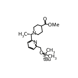 COC(=O)C1CCN([C@H](C)c2cccc(CO[Si](C)(C)C(C)(C)C)n2)CC1